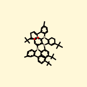 Cc1ccc(N2C3=C(C=C(C(C)(C)C)CC3)B3c4cc(C(C)(C)C)ccc4N(c4ccc(C)cc4-c4ccc(C(C)(C)C)cn4)c4cc(C)cc2c43)c(C2=CCC(C(C)(C)C)C=N2)c1